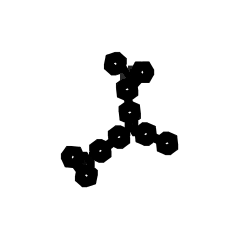 c1ccc(-c2ccc(N(c3ccc(-c4ccc(-n5c6ccccc6c6ccccc65)cc4)cc3)c3ccc(-c4ccc5c(c4)c4ccccc4n5-c4ccccc4)cc3)cc2)cc1